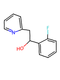 OC(Cc1ccccn1)c1ccccc1F